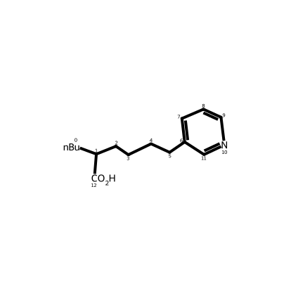 CCCCC(CCCCc1cccnc1)C(=O)O